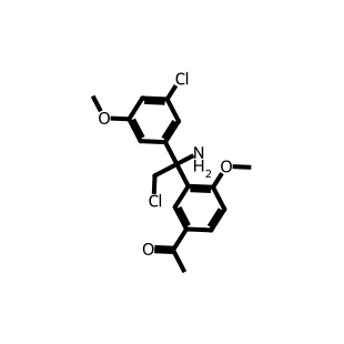 COc1cc(Cl)cc(C(N)(CCl)c2cc(C(C)=O)ccc2OC)c1